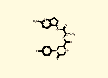 C[C@H](NC(=O)C1CN(c2ccc(F)cc2)C(=O)CN1)C(=O)N[C@@H]1CCc2nc(N)ccc21